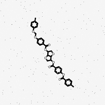 Cc1ccc(OCOc2ccc(C(=O)OC3COC4C(OC(=O)c5ccc(OC(=O)c6ccc(C)cc6)cc5)COC34)cc2)cc1